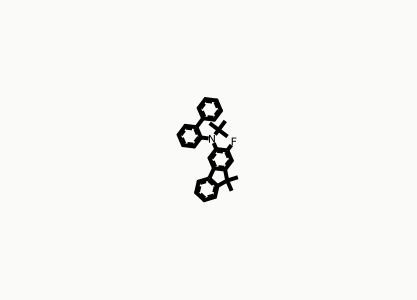 CC1(C)c2ccccc2-c2cc(N(c3ccccc3-c3ccccc3)C(C)(C)C)c(F)cc21